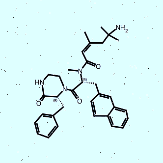 CC(=CC(=O)N(C)[C@H](Cc1ccc2ccccc2c1)C(=O)N1CCNC(=O)[C@H]1Cc1ccccc1)CC(C)(C)N